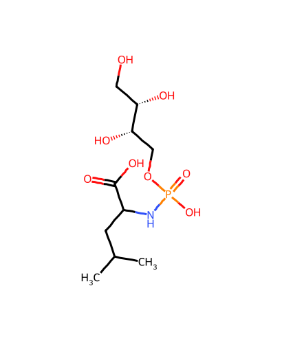 CC(C)CC(NP(=O)(O)OC[C@H](O)[C@@H](O)CO)C(=O)O